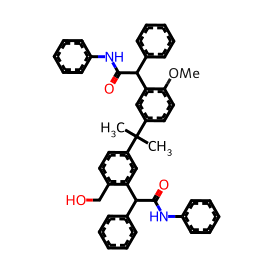 COc1ccc(C(C)(C)c2ccc(CO)c(C(C(=O)Nc3ccccc3)c3ccccc3)c2)cc1C(C(=O)Nc1ccccc1)c1ccccc1